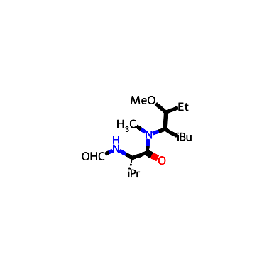 CCC(C)C(C(CC)OC)N(C)C(=O)[C@@H](NC=O)C(C)C